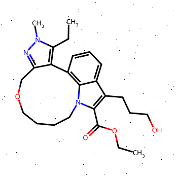 CCOC(=O)c1c(CCCO)c2cccc3c2n1CCCCOCc1nn(C)c(CC)c1-3